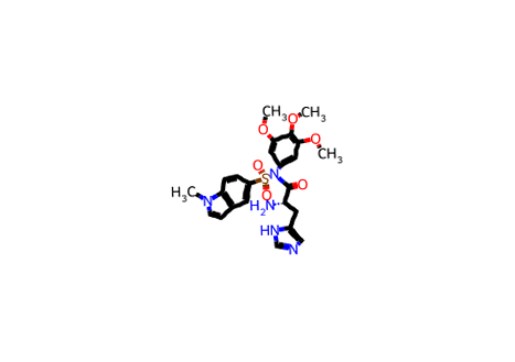 COc1cc(N(C(=O)[C@@H](N)Cc2cnc[nH]2)S(=O)(=O)c2ccc3c(ccn3C)c2)cc(OC)c1OC